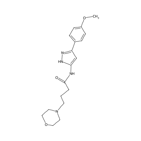 COc1ccc(-c2cc(NC(=O)CCCN3CCOCC3)[nH]n2)cc1